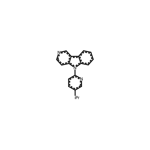 CC(C)c1ccc(-n2c3ccccc3c3cnccc32)nc1